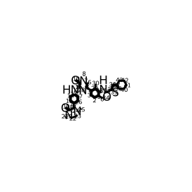 Cc1ccc(-c2cn(C)c(=O)c(Nc3ccc(C4C(=O)N(C)CCN4C)cc3)n2)c(C)c1NC(=O)c1cc2c(s1)CCCC2